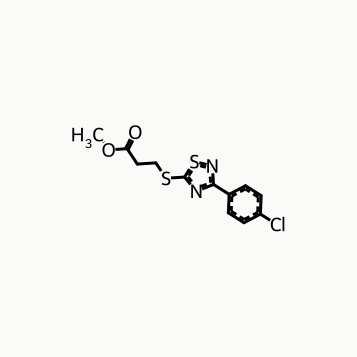 COC(=O)CCSc1nc(-c2ccc(Cl)cc2)ns1